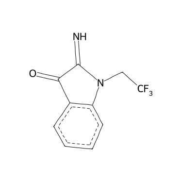 N=C1C(=O)c2ccccc2N1CC(F)(F)F